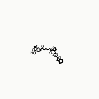 CC(C)(C)C1CN(C(=O)CCCNC(=O)c2sccc2-c2nc(-c3cc4ccccc4o3)cs2)CCN1C(=O)O